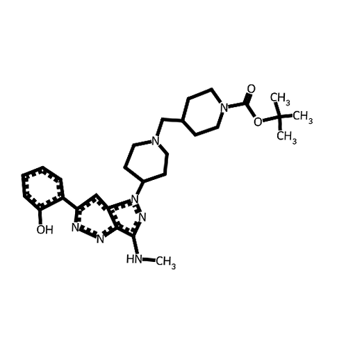 CNc1nn(C2CCN(CC3CCN(C(=O)OC(C)(C)C)CC3)CC2)c2cc(-c3ccccc3O)nnc12